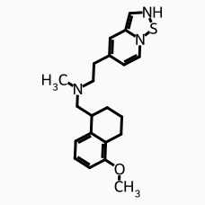 COc1cccc2c1CCCC2CN(C)CCC1=CC2=CNSN2C=C1